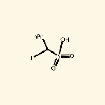 CCCC(F)S(=O)(=O)O